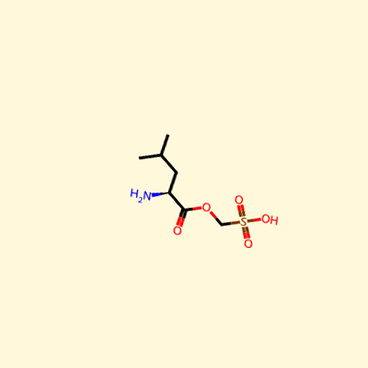 CC(C)C[C@H](N)C(=O)OCS(=O)(=O)O